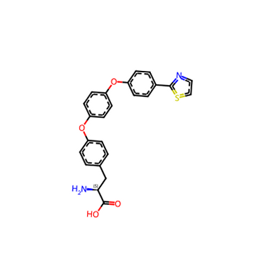 N[C@@H](Cc1ccc(Oc2ccc(Oc3ccc(-c4nccs4)cc3)cc2)cc1)C(=O)O